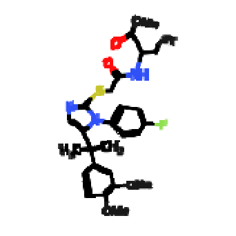 COC(=O)C(CC(C)C)NC(=O)CSc1ncc(C(C)(C)c2ccc(OC)c(OC)c2)n1-c1ccc(F)cc1